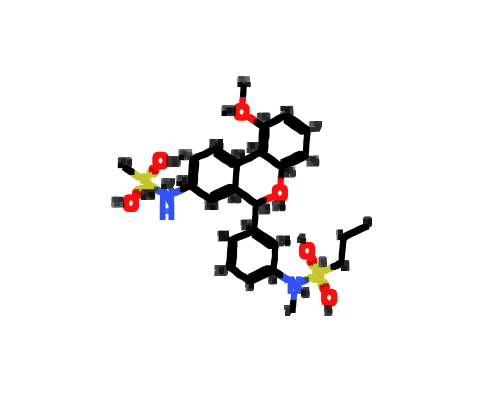 CCCS(=O)(=O)N(C)c1cccc(C2Oc3cccc(OC)c3-c3ccc(NS(C)(=O)=O)cc32)c1